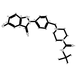 CC(C)(C)OC(=O)N1CCN(Cc2ccc(-n3oc4ccc(Cl)cc4c3=O)cc2)CC1